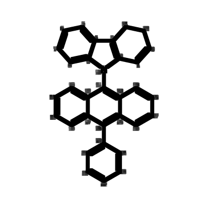 C1=Cc2c(c3ccccc3n2-c2c3ccccc3c(-c3ccccc3)c3ccccc23)CC1